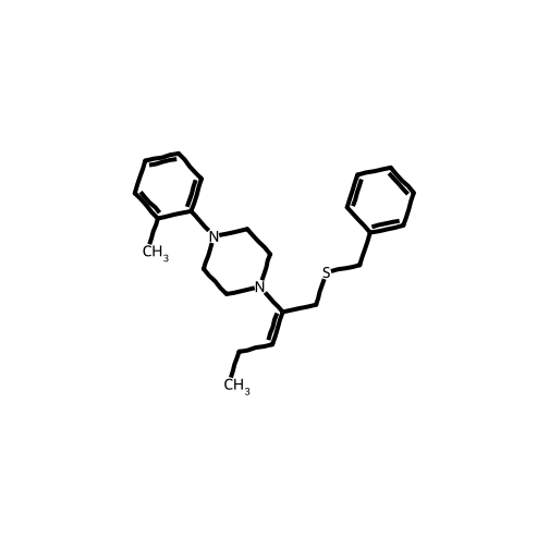 CCC=C(CSCc1ccccc1)N1CCN(c2ccccc2C)CC1